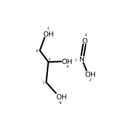 O=NO.OCC(O)CO